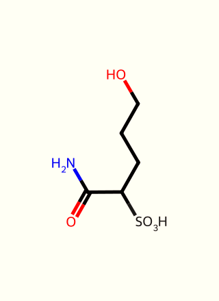 NC(=O)C(CCCO)S(=O)(=O)O